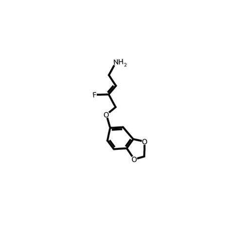 NCC=C(F)COc1ccc2c(c1)OCO2